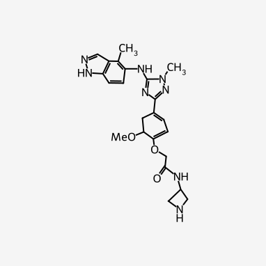 COC1CC(c2nc(Nc3ccc4[nH]ncc4c3C)n(C)n2)=CC=C1OCC(=O)NC1CNC1